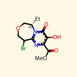 CC[C@H]1COCC(Br)c2nc(C(=O)OC)c(O)c(=O)n21